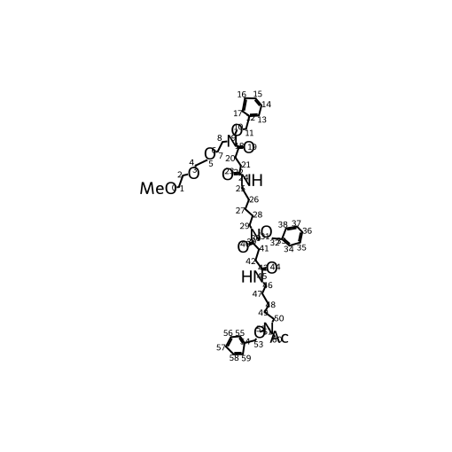 COCCOCCOCCN(OCc1ccccc1)C(=O)CCC(=O)NCCCCCN(OCc1ccccc1)C(=O)CCC(=O)NCCCCCN(OCc1ccccc1)C(C)=O